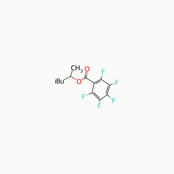 CCC(C)C(C)OC(=O)c1c(F)c(F)c(F)c(F)c1F